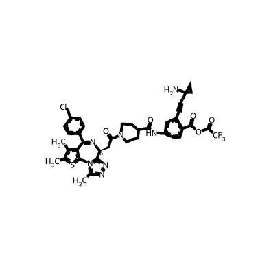 Cc1sc2c(c1C)C(c1ccc(Cl)cc1)=N[C@@H](CC(=O)N1CCC(C(=O)Nc3ccc(C(=O)OC(=O)C(F)(F)F)c(C#CC4(N)CC4)c3)CC1)c1nnc(C)n1-2